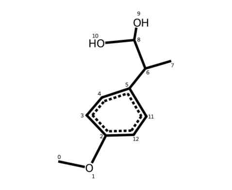 COc1ccc(C(C)C(O)O)cc1